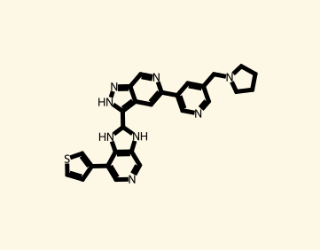 c1cc(-c2cncc3c2NC(c2[nH]nc4cnc(-c5cncc(CN6CCCC6)c5)cc24)N3)cs1